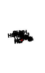 Cl.Cl.NC(CCCCB(O)O)(CCN1CCN(c2ccccc2)CC1)C(=O)O.O